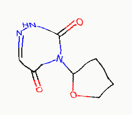 O=c1cn[nH]c(=O)n1C1CCCO1